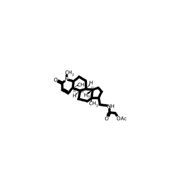 CC(=O)OCC(=O)NCC1CC[C@H]2[C@@H]3CCC4N(C)C(=O)C=C[C@]4(C)[C@@H]3CC[C@]12C